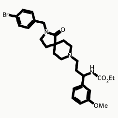 CCOC(=O)NC(CCN1CCC2(CC1)CCN(Cc1ccc(Br)cc1)C2=O)c1cccc(OC)c1